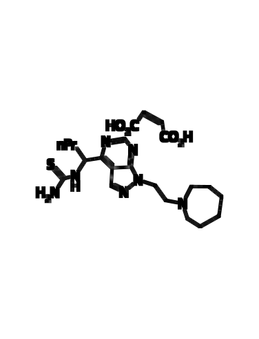 CCCC(NC(N)=S)c1ncnc2c1cnn2CCN1CCCCCC1.O=C(O)/C=C\C(=O)O